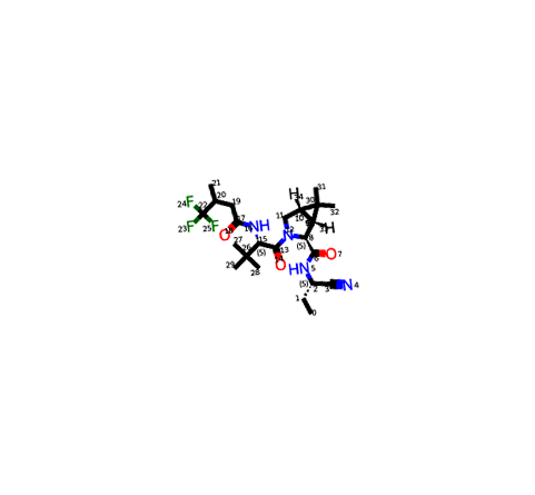 CC[C@@H](C#N)NC(=O)[C@@H]1[C@@H]2[C@H](CN1C(=O)[C@@H](NC(=O)CC(C)C(F)(F)F)C(C)(C)C)C2(C)C